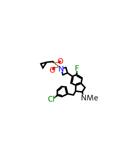 CNC1Cc2cc(F)c(C3CN(S(=O)(=O)CC4CC4)C3)cc2C1Cc1cccc(Cl)c1